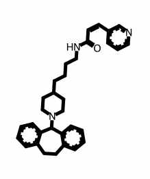 O=C(/C=C\c1cccnc1)NCCCCC1CCN(C2c3ccccc3CCc3ccccc32)CC1